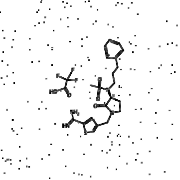 CS(=O)(=O)N(CCCc1ccccc1)[C@H]1CCN(Cc2csc(C(=N)N)c2)C1=O.O=C(O)C(F)(F)F